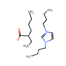 CCCCC(CC)C(=O)[O-].CCCCn1cc[n+](CCCC)c1